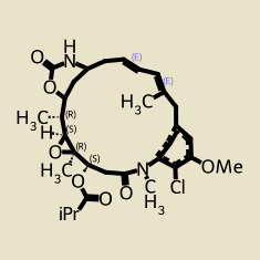 COc1cc2cc(c1Cl)N(C)C(=O)C[C@H](OC(=O)C(C)C)[C@@]1(C)O[C@H]1[C@H](C)C1CC(C/C=C/C=C(\C)C2)NC(=O)O1